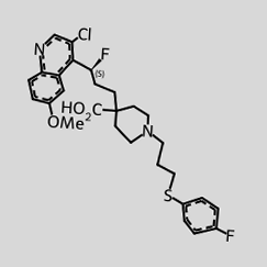 COc1ccc2ncc(Cl)c([C@@H](F)CCC3(C(=O)O)CCN(CCCSc4ccc(F)cc4)CC3)c2c1